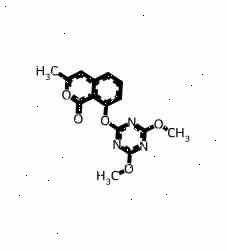 COc1nc(OC)nc(Oc2cccc3cc(C)oc(=O)c23)n1